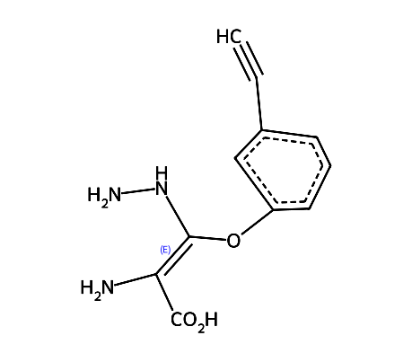 C#Cc1cccc(O/C(NN)=C(/N)C(=O)O)c1